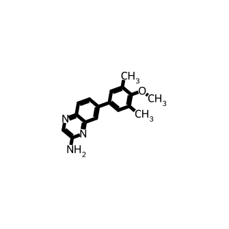 COc1c(C)cc(-c2ccc3ncc(N)nc3c2)cc1C